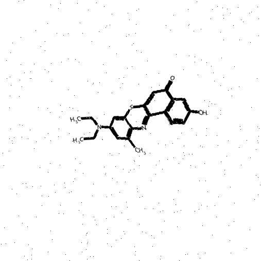 CCN(CC)c1cc(C)c2nc3c4ccc(O)cc4c(=O)cc-3sc2c1